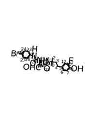 CC(C)(CCc1ccc(O)c(F)c1)NC(=O)N(C=O)NC(=O)Nc1ccc(Br)cc1